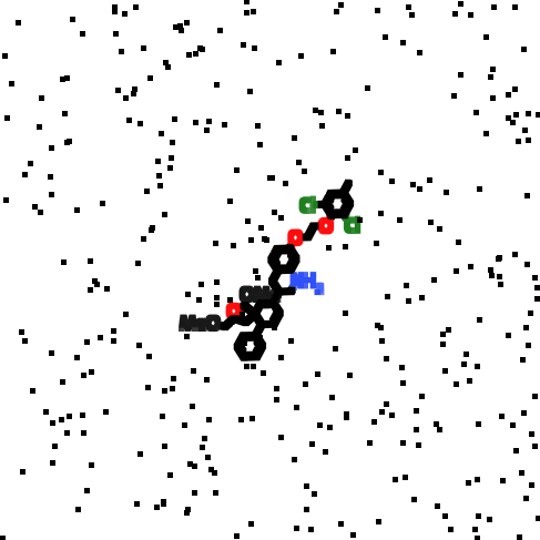 COCCCC1(C(=O)OC)C=C(C(CN)Cc2ccc(OCCOc3c(Cl)cc(C)cc3Cl)cc2)C=CC1c1ccccc1